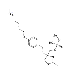 CC1=NC(CCc2ccc(OCCCC/C=C/I)cc2)(COP(=O)(O)OC(C)(C)C)CO1